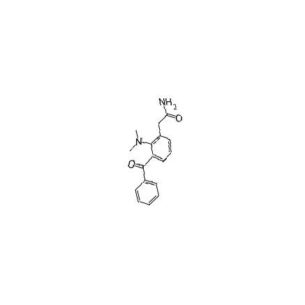 CN(C)c1c(CC(N)=O)cccc1C(=O)c1ccccc1